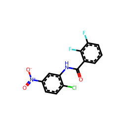 O=C(Nc1cc([N+](=O)[O-])ccc1Cl)c1cccc(F)c1F